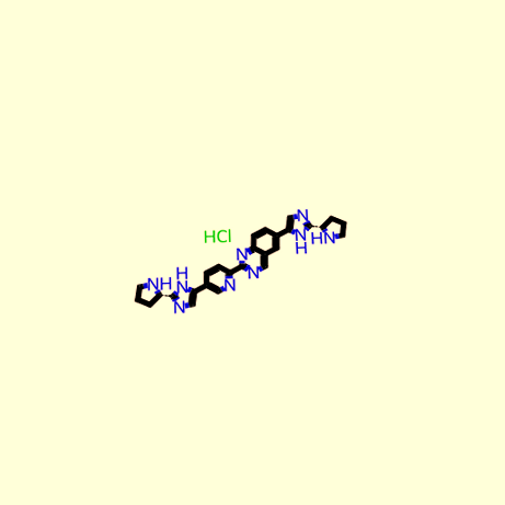 Cl.c1cc(-c2ncc3cc(-c4cnc([C@@H]5CCCN5)[nH]4)ccc3n2)ncc1-c1cnc([C@@H]2CCCN2)[nH]1